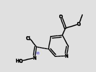 COC(=O)c1cncc(/C(Cl)=N/O)c1